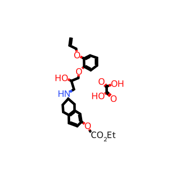 C=CCOc1ccccc1OCC(O)CN[C@H]1CCc2ccc(OCC(=O)OCC)cc2C1.O=C(O)C(=O)O